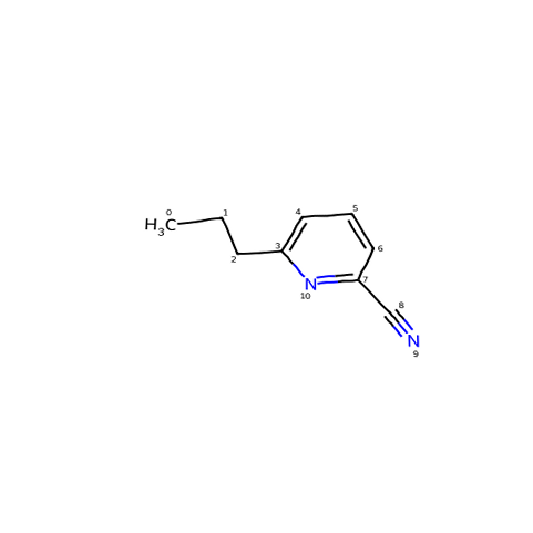 CCCc1cccc(C#N)n1